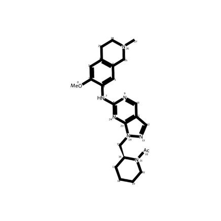 COc1cc2c(cc1Nc1ncc3cnn(C[C@@H]4CCCCN4C(C)=O)c3n1)CN(C)CC2